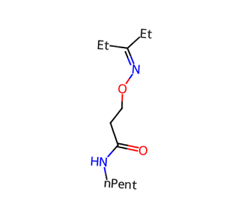 CCCCCNC(=O)CCON=C(CC)CC